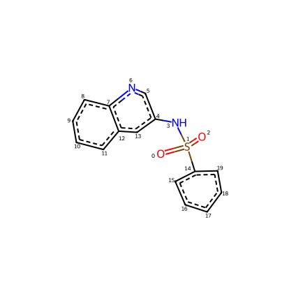 O=S(=O)(Nc1cnc2ccccc2c1)c1ccccc1